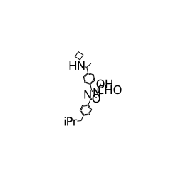 CC(C)Cc1ccc(-c2nc(-c3ccc(C(C)NC4CCC4)cc3)no2)cc1.O=CO